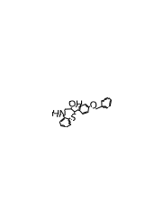 OC1CNc2ccccc2SC1c1ccc(OCc2ccccc2)cc1